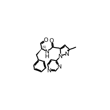 Cc1cc(C(=O)N[C@H](C=O)Cc2ccccc2)n(-c2ccncn2)n1